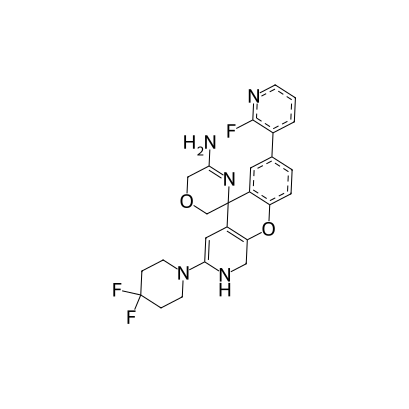 NC1=NC2(COC1)C1=C(CNC(N3CCC(F)(F)CC3)=C1)Oc1ccc(-c3cccnc3F)cc12